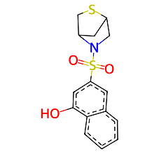 O=S(=O)(c1cc(O)c2ccccc2c1)N1CC2CC1CS2